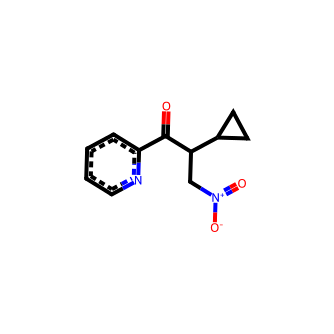 O=C(c1ccccn1)C(C[N+](=O)[O-])C1CC1